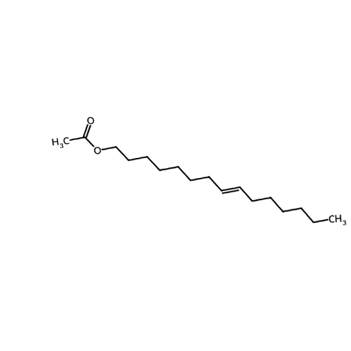 CCCCCCC=CCCCCCCCOC(C)=O